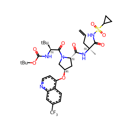 C=CC[C@](C)(NC(=O)[C@@H]1C[C@@H](Oc2ccnc3cc(C(F)(F)F)ccc23)CN1C(=O)[C@@H](NC(=O)OC(C)(C)C)C(C)(C)C)C(=O)NS(=O)(=O)C1CC1